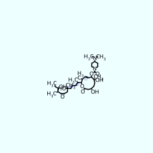 CCC(O)C(C)C1OC1CC(C)(O)/C=C/C=C(\C)C1OC(=O)CC(O)CCC(C)(O)C(OC(=O)N2CCC(N(C)C)CC2)/C=C/C1C